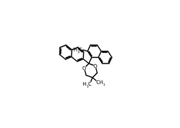 Cc1ccc2ccccc2c1C1(c2ccc3ccccc3c2)OCC(C)(C)CO1